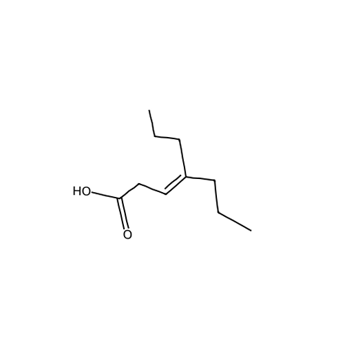 CCCC(=CCC(=O)O)CCC